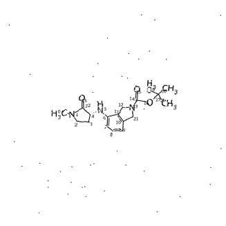 CN1CC[C@@H](Nc2cccc3c2CN(C(=O)OC(C)(C)C)C3)C1=O